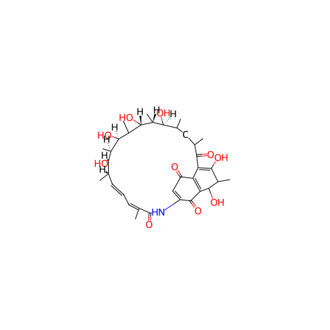 C/C1=C/C=C/[C@H](C)[C@H](O)[C@@H](C)[C@@H](O)C(C)[C@H](O)[C@H](C)[C@@H](O)C(C)CC(C)C(=O)C2=C(O)C(C)C(O)C3=C2C(=O)C=C(NC1=O)C3=O